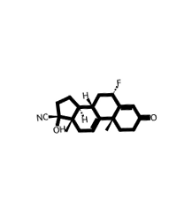 C[C@]12CCC(=O)C=C1[C@@H](F)C[C@@H]1C2=CC[C@@]2(C)[C@H]1CC[C@]2(O)C#N